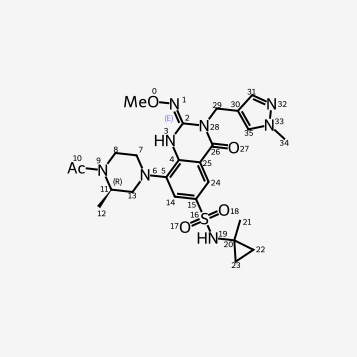 CO/N=c1\[nH]c2c(N3CCN(C(C)=O)[C@H](C)C3)cc(S(=O)(=O)NC3(C)CC3)cc2c(=O)n1Cc1cnn(C)c1